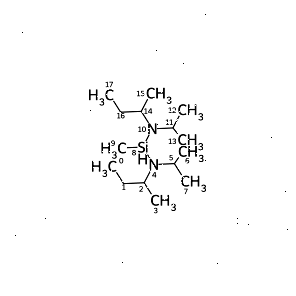 CCC(C)N(C(C)C)[SiH](C)N(C(C)C)C(C)CC